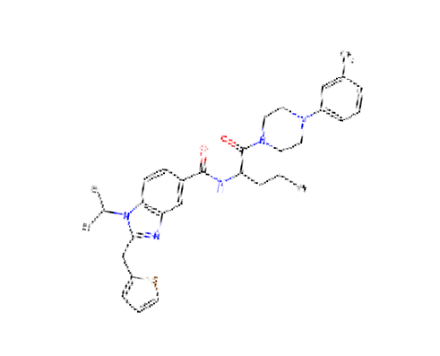 CCC(CC)n1c(Cc2cccs2)nc2cc(C(=O)NC(CCC(C)C)C(=O)N3CCN(c4cccc(C(F)(F)F)c4)CC3)ccc21